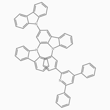 c1ccc(-c2cc(-c3ccccc3)nc(-c3cccc(-n4c5ccccc5c5cc(-n6c7ccccc7c7ccccc76)cc(-n6c7ccccc7c7ccccc76)c54)c3)c2)cc1